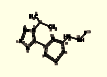 CC(C)n1nnnc1-c1cccc(NNF)n1